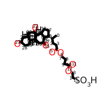 CC(CCC(=O)OCCCC(=O)OCCS(=O)(=O)O)[C@H]1CC[C@H]2[C@@H]3C(=O)C[C@@H]4CC(=O)CC[C@]4(C)[C@H]3CC(=O)[C@]12C